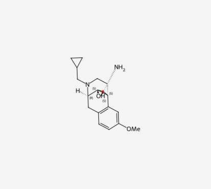 COc1ccc2c(c1)[C@@]13CCN(CC4CC4)[C@H](C2)[C@]1(O)C[C@@H](N)C3